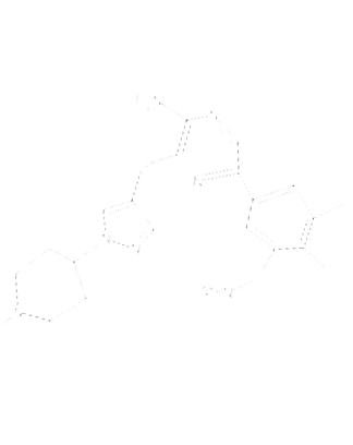 CNSc1cc(-c2cnc(N)c(Oc3cnn(C4CCN(C)CC4)c3)n2)cc(C)c1C